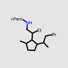 CCCCCNCC(CC)C1C(C)CCC1C(C)CC(C)C